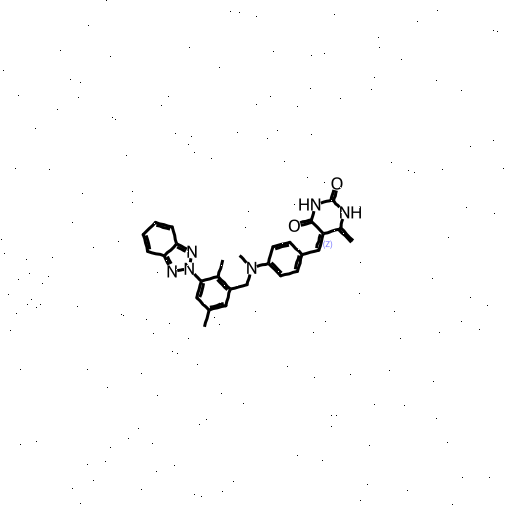 C=c1[nH]c(=O)[nH]c(=O)/c1=C\c1ccc(N(C)Cc2cc(C)cc(-n3nc4ccccc4n3)c2C)cc1